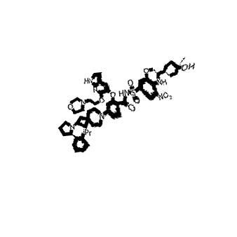 CC(C)c1ccccc1[C@H]1CCCN1C1CC2(CCN(c3ccc(C(=O)NS(=O)(=O)c4cc5c(c([N+](=O)[O-])c4)N[C@@H]([C@H]4CC[C@](C)(O)CC4)CO5)c(Oc4cc5cc[nH]c5nc4OCCN4CCOCC4)c3)CC2)C1